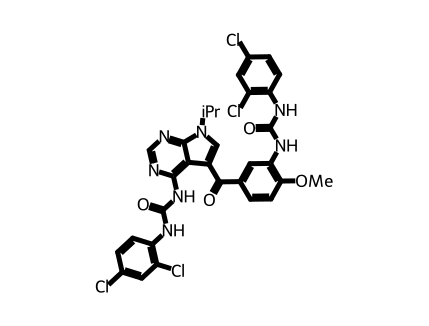 COc1ccc(C(=O)c2cn(C(C)C)c3ncnc(NC(=O)Nc4ccc(Cl)cc4Cl)c23)cc1NC(=O)Nc1ccc(Cl)cc1Cl